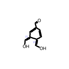 O=Cc1ccc(=C\O)/c(=C\O)c1